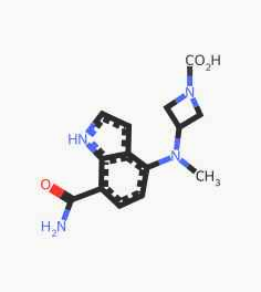 CN(c1ccc(C(N)=O)c2[nH]ccc12)C1CN(C(=O)O)C1